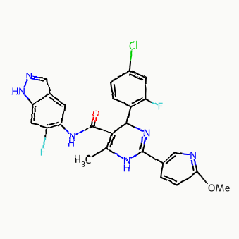 COc1ccc(C2=NC(c3ccc(Cl)cc3F)C(C(=O)Nc3cc4cn[nH]c4cc3F)=C(C)N2)cn1